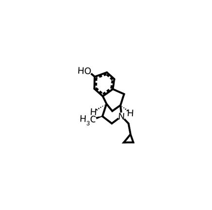 C[C@@H]1CN(CC2CC2)[C@@H]2Cc3ccc(O)cc3[C@H]1C2